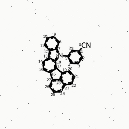 N#Cc1cccc(-n2c3ccccc3c3ccc4c(c32)-c2cccc3cccc-4c23)c1